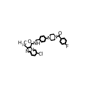 CCc1nc2ccc(Cl)cn2c1C(=O)NCc1ccc(N2CCN(C(=O)c3ccc(F)cc3)CC2)cc1